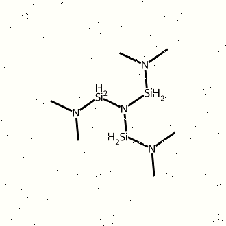 CN(C)[SiH2]N([SiH2]N(C)C)[SiH2]N(C)C